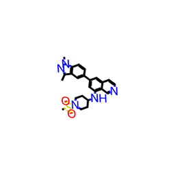 Cc1nn(C)c2ccc(-c3cc(NC4CCN(S(C)(=O)=O)CC4)c4cnccc4c3)cc12